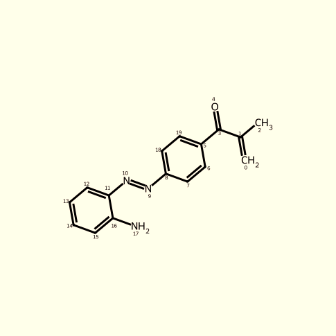 C=C(C)C(=O)c1ccc(N=Nc2ccccc2N)cc1